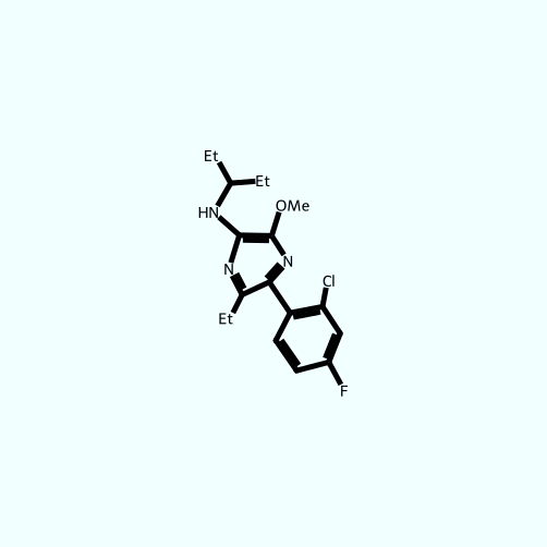 CCc1nc(NC(CC)CC)c(OC)nc1-c1ccc(F)cc1Cl